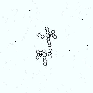 CC(C)(C)c1cc(N2c3cc4cc5ccccc5cc4cc3B3c4c(cccc42)-c2cccc4c5ccccc5n3c24)cc(C(C)(C)Cc2ccc3cc4cc5c(cc4cc3c2)B2c3c(cc4ccccc4c3-c3cccc4c6ccccc6n2c34)N5c2ccc3ccccc3c2)c1